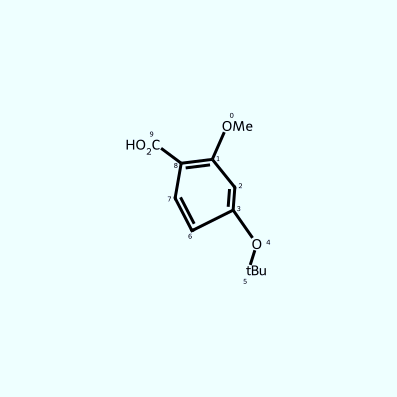 COc1cc(OC(C)(C)C)ccc1C(=O)O